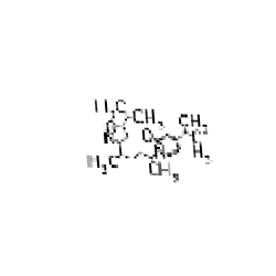 CC(CCC(C)n1ccc(C(C)C)cc1=O)C1=NOC(C(C)C)C1